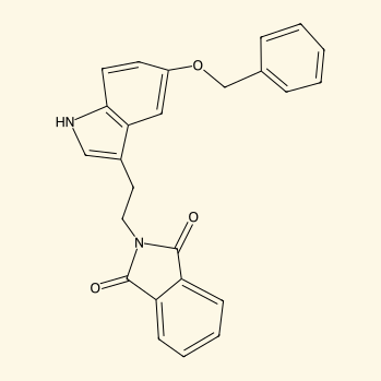 O=C1c2ccccc2C(=O)N1CCc1c[nH]c2ccc(OCc3ccccc3)cc12